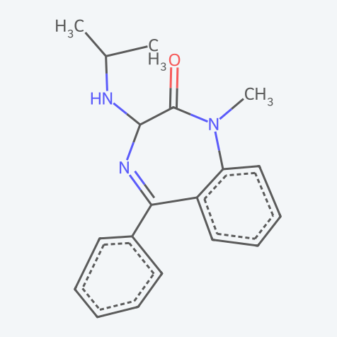 CC(C)NC1N=C(c2ccccc2)c2ccccc2N(C)C1=O